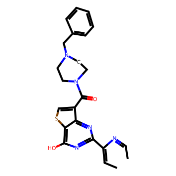 C/C=N\C(=C/C)c1nc(O)c2scc(C(=O)N3CCN(Cc4ccccc4)CC3)c2n1